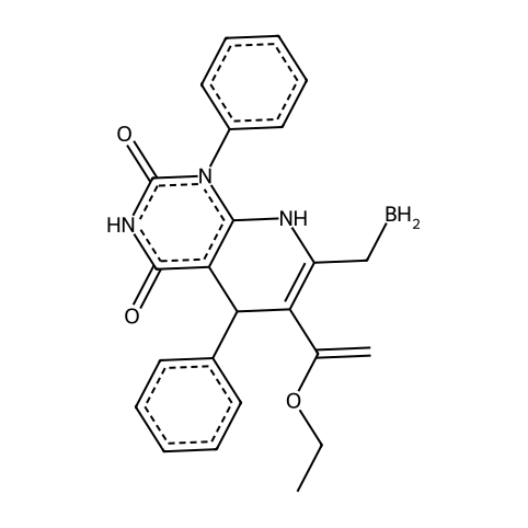 BCC1=C(C(=C)OCC)C(c2ccccc2)c2c(n(-c3ccccc3)c(=O)[nH]c2=O)N1